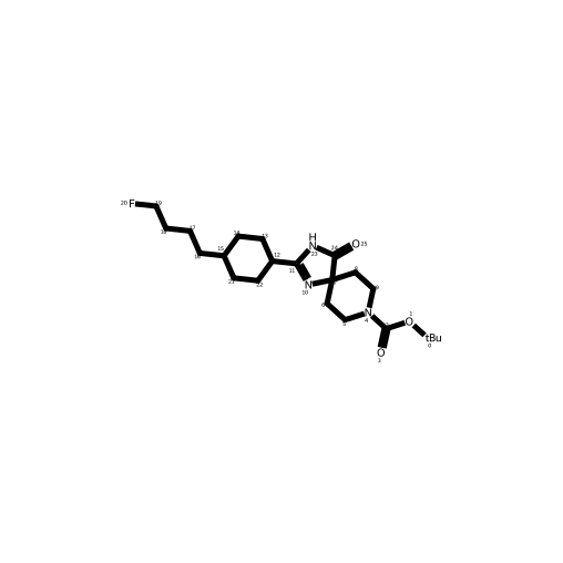 CC(C)(C)OC(=O)N1CCC2(CC1)N=C(C1CCC(CCCCF)CC1)NC2=O